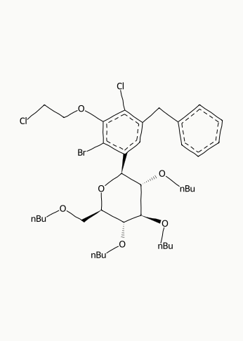 CCCCOC[C@H]1O[C@@H](c2cc(Cc3ccccc3)c(Cl)c(OCCCl)c2Br)[C@H](OCCCC)[C@@H](OCCCC)[C@@H]1OCCCC